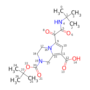 CC(C)(C)NC(=O)C(=O)c1cc(C(=O)O)c2n1CCN(C(=O)OC(C)(C)C)C2